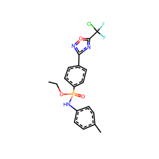 CCOP(=O)(Nc1ccc(C)cc1)c1ccc(-c2noc(C(F)(F)Cl)n2)cc1